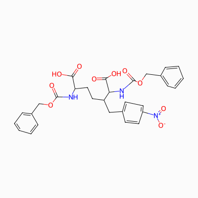 O=C(NC(CCC(Cc1ccc([N+](=O)[O-])cc1)C(NC(=O)OCc1ccccc1)C(=O)O)C(=O)O)OCc1ccccc1